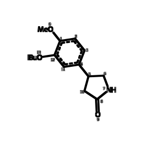 COc1ccc(C2CNC(=O)C2)cc1OCC(C)C